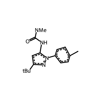 CNC(=O)Nc1cc(C(C)(C)C)nn1-c1ccc(C)cc1